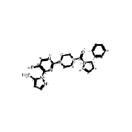 Cc1ccnn1-c1nc(N2CCN(C(=O)N3N=CC[C@H]3c3ccccc3)CC2)ncc1F